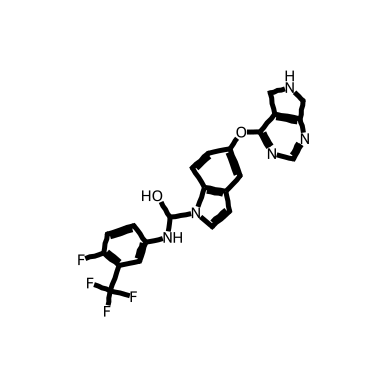 OC(Nc1ccc(F)c(C(F)(F)F)c1)n1ccc2cc(Oc3ncnc4c3CNC4)ccc21